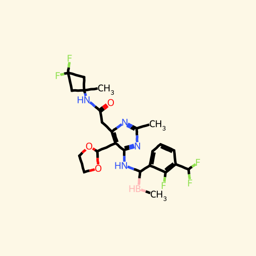 CBC(Nc1nc(C)nc(CC(=O)NC2(C)CC(F)(F)C2)c1C1OCCO1)c1cccc(C(F)F)c1F